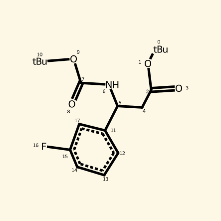 CC(C)(C)OC(=O)CC(NC(=O)OC(C)(C)C)c1cccc(F)c1